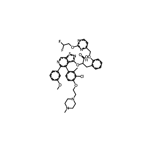 COc1cccc(-c2ncc3snc(OC(Cc4ccccc4OCc4ccnc(OCC(F)F)n4)C(=O)O)c3c2-c2ccc(OCCN3CCN(C)CC3)c(Cl)c2C)c1